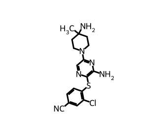 CC1(N)CCN(c2cnc(Sc3ccc(C#N)cc3Cl)c(N)n2)CC1